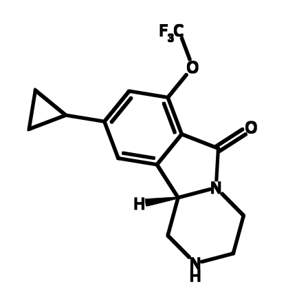 O=C1c2c(OC(F)(F)F)cc(C3CC3)cc2[C@H]2CNCCN12